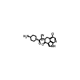 CC(C)[C@H](C(=O)N1CCC(N)CC1)N1Cc2c(Cl)cnc3[nH]cc(c23)C1=O